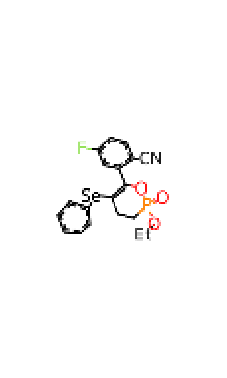 CCOP1(=O)CCC([Se]c2ccccc2)=C(c2cc(F)ccc2C#N)O1